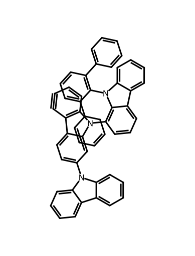 c1ccc2c(c#1)c1ccc(-n3c4ccccc4c4ccccc43)cc1n2-c1cccc2c3ccccc3n(-c3c(-c4ccccc4)cccc3C3C=CC=CC3)c12